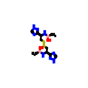 CB(O)N[C@@H](CSSC[C@H](NB(C)O)c1nc[nH]n1)c1nc[nH]n1